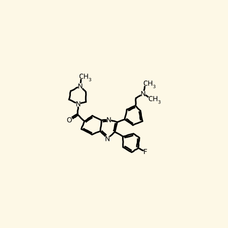 CN(C)Cc1cccc(-c2nc3cc(C(=O)N4CCN(C)CC4)ccc3nc2-c2ccc(F)cc2)c1